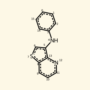 c1ccc(Nc2csc3cccnc23)cc1